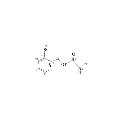 CNC(=O)OCc1ccccc1Br